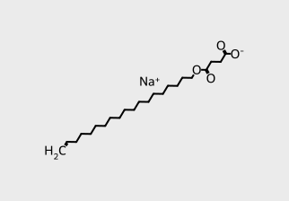 C=CCCCCCCCCCCCCCCCCCOC(=O)CCC(=O)[O-].[Na+]